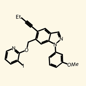 CCC#Cc1cc2cnn(-c3cccc(OC)c3)c2cc1COc1ncccc1I